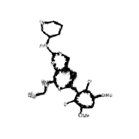 COc1cc(OC)c(Cl)c(-c2cc3cnc(NC4CCCOC4)nc3c(NCC(C)(C)C)n2)c1Cl